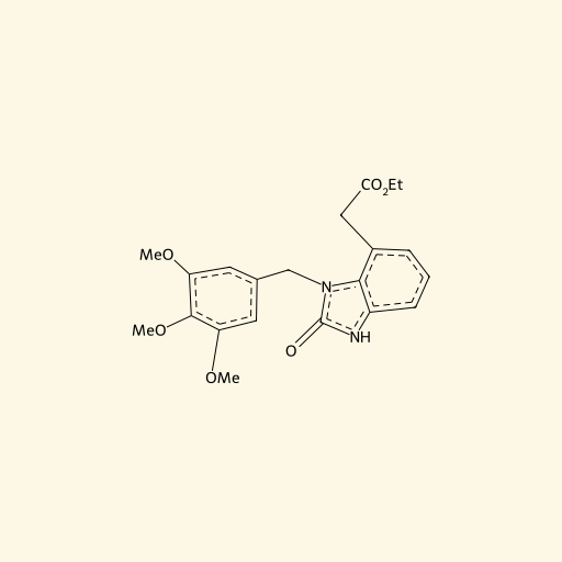 CCOC(=O)Cc1cccc2[nH]c(=O)n(Cc3cc(OC)c(OC)c(OC)c3)c12